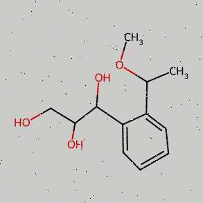 COC(C)c1ccccc1C(O)C(O)CO